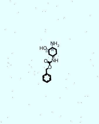 N[C@@H]1CC[C@@H](NC(=O)OCc2ccccc2)C[C@@H]1O